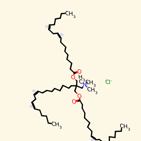 CCCCC/C=C\C/C=C\CCCCCCCCC(COC(=O)CCCCCCC/C=C\C/C=C\CCCCC)(COC(=O)CCCCCCC/C=C\C/C=C\CCCCC)C[N+](C)(C)C.[Cl-]